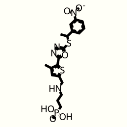 Cc1cc(CNCCCP(=O)(O)O)sc1-c1nnc(SC(C)c2cccc([N+](=O)[O-])c2)o1